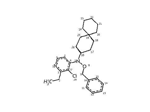 CCc1nccc(N(OCc2ccccc2)C2CCC3(CCCCC3)CC2)c1Cl